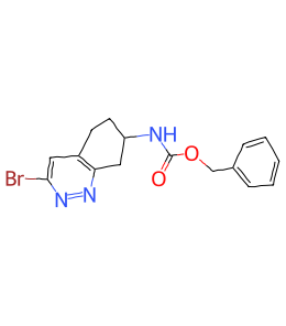 O=C(NC1CCc2cc(Br)nnc2C1)OCc1ccccc1